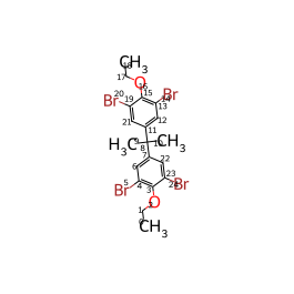 CCOc1c(Br)cc(C(C)(C)c2cc(Br)c(OCC)c(Br)c2)cc1Br